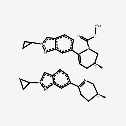 C[C@H]1CC=C(c2ccc3cn(C4CC4)nc3c2)N(C(=O)OC(C)(C)C)C1.C[C@H]1CCC(c2ccc3cn(C4CC4)nc3c2)=NC1